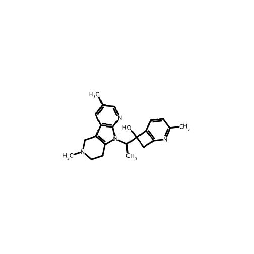 Cc1cnc2c(c1)c1c(n2C(C)C2(O)Cc3nc(C)ccc32)CCN(C)C1